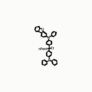 CCCCCC(CC)(c1ccc(N(c2ccccc2)c2ccccc2)cc1)c1ccc(N(c2ccccc2)c2ccc3c(c2)oc2ccccc23)cc1